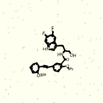 COc1ccccc1C#Cc1ccc(OC(C)C)c(C(=O)NC(CO)Cc2c[nH]c3cc(F)c(F)cc23)c1